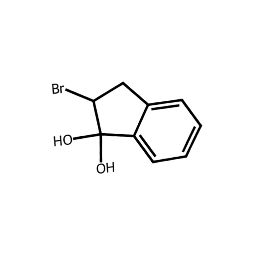 OC1(O)c2ccccc2CC1Br